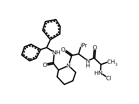 CC(NCl)C(=O)NC(C(=O)N1CCCCC1C(=O)NC(c1ccccc1)c1ccccc1)C(C)C